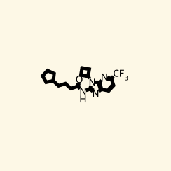 O=C(CCCC1CCCC1)Nc1nc2ccc(C(F)(F)F)nc2n1C1CCC1